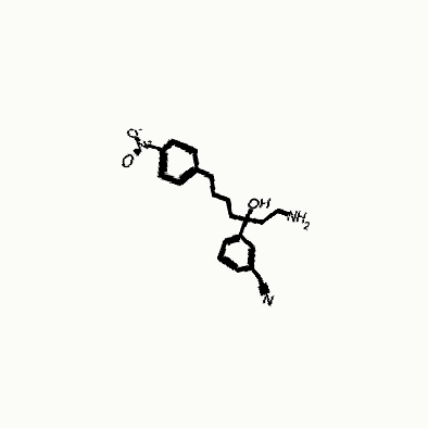 N#Cc1cccc(C(O)(CCN)CCCCc2ccc([N+](=O)[O-])cc2)c1